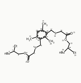 CCCCC(CC)COC(=O)CSCc1c(C)[c]c(C)c(CSCC(=O)OCC(CC)CCCC)c1C